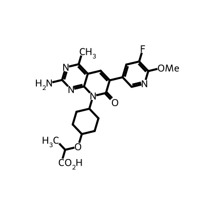 COc1ncc(-c2cc3c(C)nc(N)nc3n(C3CCC(OC(C)C(=O)O)CC3)c2=O)cc1F